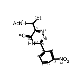 CCC(NC(C)=O)c1nnc(-c2cccc([N+](=O)[O-])c2)[nH]c1=O